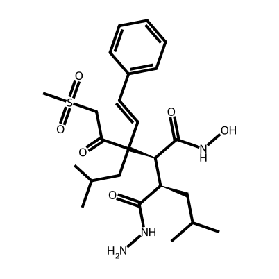 CC(C)C[C@@H](C(=O)NN)[C@H](C(=O)NO)C(/C=C/c1ccccc1)(CC(C)C)C(=O)CS(C)(=O)=O